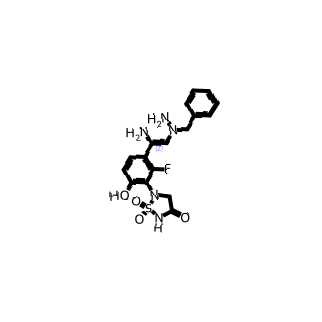 N/C(=C\N(N)Cc1ccccc1)c1ccc(O)c(N2CC(=O)NS2(=O)=O)c1F